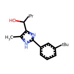 Cc1[nH]c(-c2cccc(C(C)(C)C)c2)nc1C(O)C(C)C